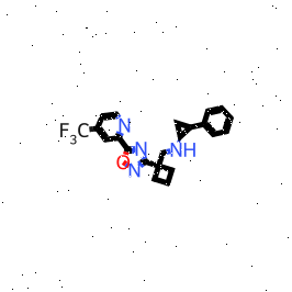 FC(F)(F)c1ccnc(-c2nc(C3(CN[C@H]4CC4c4ccccc4)CCC3)no2)c1